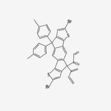 C=CC(=C)C1(C(=C)C=C)c2cc3c(cc2-c2sc(Br)cc21)C(c1ccc(C)cc1)(c1ccc(C)cc1)c1cc(Br)sc1-3